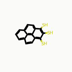 Sc1c(S)c2ccc3cccc4ccc(c1S)c2c34